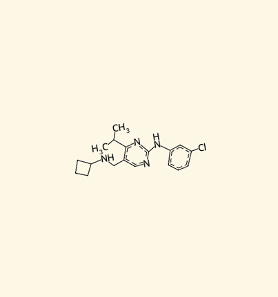 CC(C)c1nc(Nc2cccc(Cl)c2)ncc1CNC1CCC1